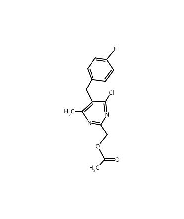 CC(=O)OCc1nc(C)c(Cc2ccc(F)cc2)c(Cl)n1